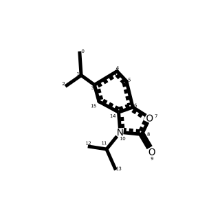 CC(C)c1ccc2oc(=O)n(C(C)C)c2c1